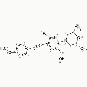 COc1ccc(C#Cc2cc(CO)c(N3C[C@@H](C)O[C@@H](C)C3)nc2F)cc1